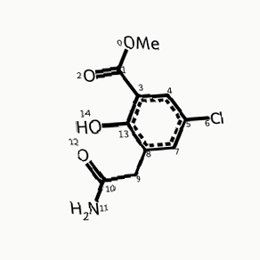 COC(=O)c1cc(Cl)cc(CC(N)=O)c1O